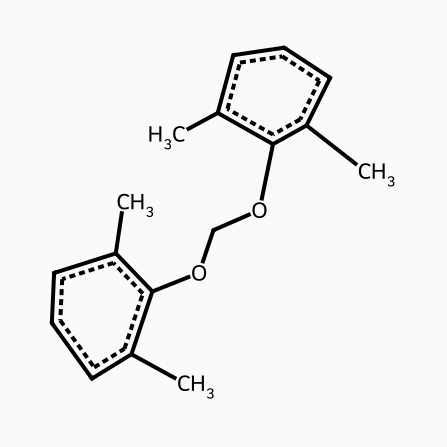 Cc1cccc(C)c1OCOc1c(C)cccc1C